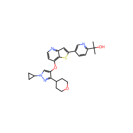 CC(C)(O)c1ccc(-c2cc3nccc(Oc4cn(C5CC5)nc4C4CCOCC4)c3s2)cn1